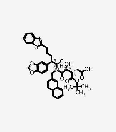 C[C@H]([C@H](CC=Cc1nc2ccccc2o1)c1ccc2c(c1)OCO2)N(Cc1ccc2ccccc2c1)C(=O)[C@@H](O)[C@H](CC(=O)O)C(=O)OC(C)(C)C